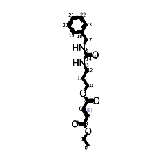 CCOC(=O)/C=C/C(=O)OCCCNC(=O)NCc1ccccc1